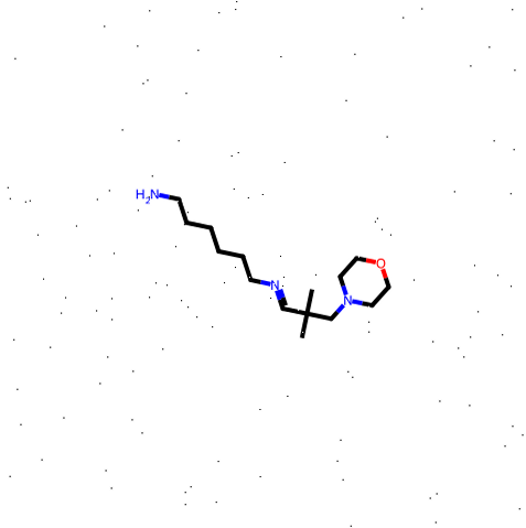 CC(C)(C=NCCCCCCN)CN1CCOCC1